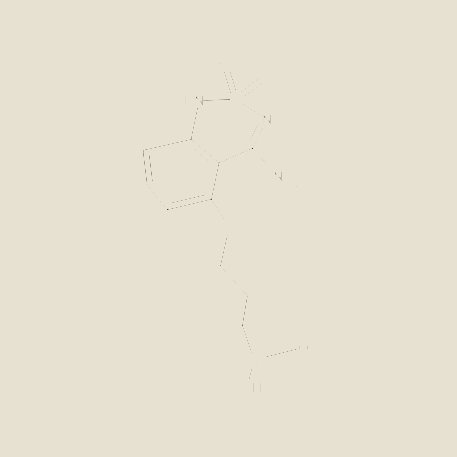 C[S+]([O-])CCCOc1cccc2c1C(N)=NS(=O)(=O)N2